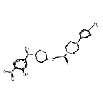 Cc1ccc(N2CCN(C(=O)CO[C@H]3CC[C@H](N(C)c4ccc([N+](=O)[O-])c(C)c4)CC3)CC2)cc1